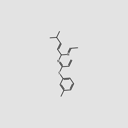 C=C/C(=N\C(C=CC(C)C)/N=C/C)Sc1cccc(C)c1